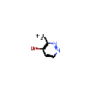 [CH2]c1nnccc1Br